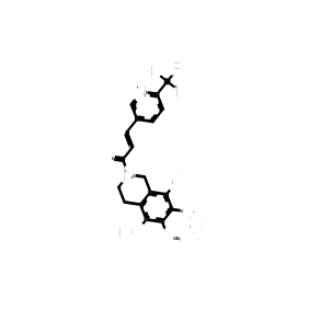 COc1c(C)c2c(c(C)c1OC)CN(C(=O)/C=C/c1ccc(C(F)(F)F)nc1)CC2